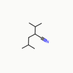 CC(C)CC(C#N)C(C)C